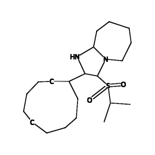 CC(C)S(=O)(=O)C1C(C2CCCCCCCCC2)NC2CCCCCN21